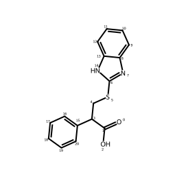 O=C(O)C(CSc1nc2ccccc2[nH]1)c1ccccc1